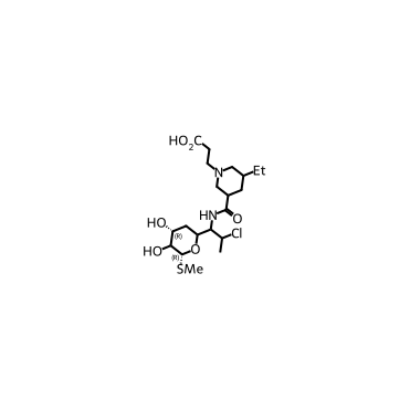 CCC1CC(C(=O)NC(C(C)Cl)C2C[C@@H](O)C(O)[C@@H](SC)O2)CN(CCC(=O)O)C1